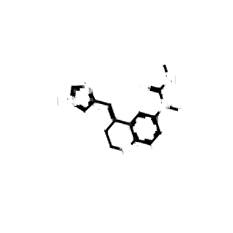 CNC(=O)N(C)c1ccc2c(c1)/C(=C/c1c[nH]cn1)CCO2